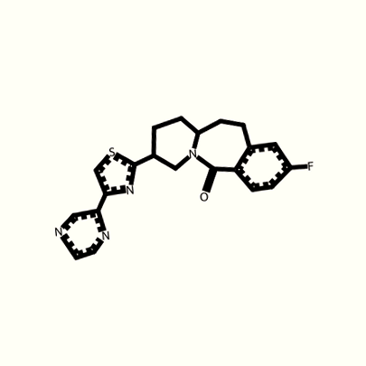 O=C1c2ccc(F)cc2CCC2CCC(c3nc(-c4cnccn4)cs3)CN12